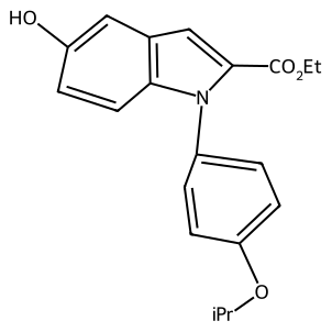 CCOC(=O)c1cc2cc(O)ccc2n1-c1ccc(OC(C)C)cc1